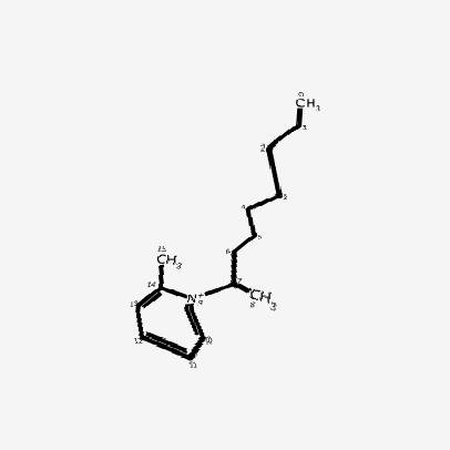 CCCCCCCC(C)[n+]1ccccc1C